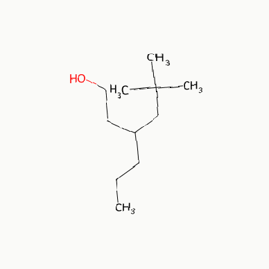 CCCC(CCO)CC(C)(C)C